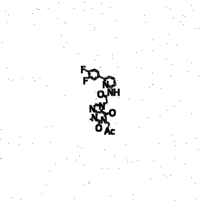 CC(=O)Cn1c(=O)c2c(ncn2CC(=O)Nc2cccc(-c3ccc(F)c(F)c3)n2)n(C)c1=O